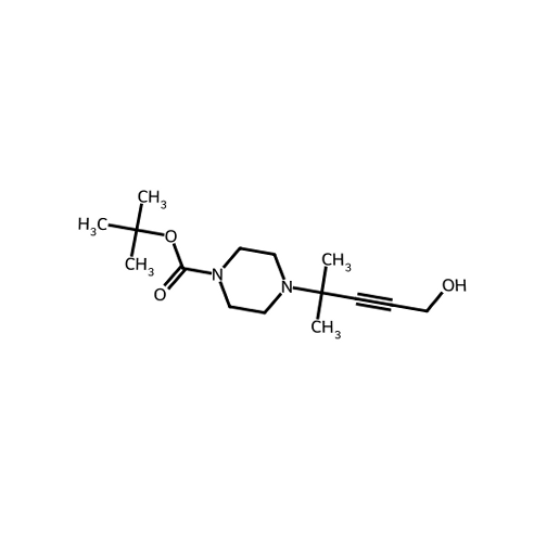 CC(C)(C)OC(=O)N1CCN(C(C)(C)C#CCO)CC1